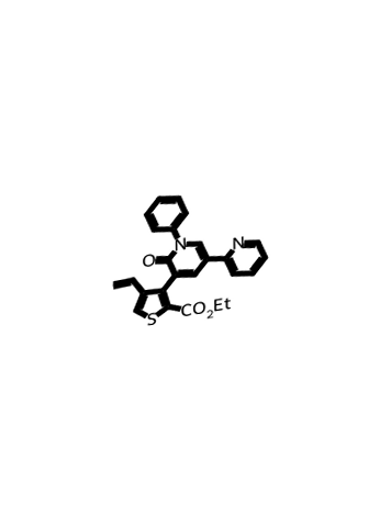 C=Cc1csc(C(=O)OCC)c1-c1cc(-c2ccccn2)cn(-c2ccccc2)c1=O